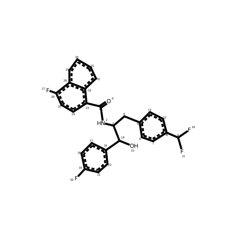 O=C(NC(Cc1ccc(C(F)F)cc1)C(O)c1ccc(F)cc1)c1ccc(F)c2ccccc12